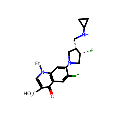 CCn1cc(C(=O)O)c(=O)c2cc(F)c(N3C[C@H](CNC4CC4)[C@H](F)C3)cc21